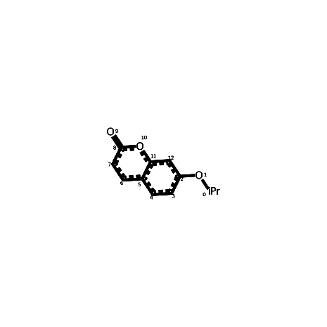 CC(C)Oc1ccc2ccc(=O)oc2c1